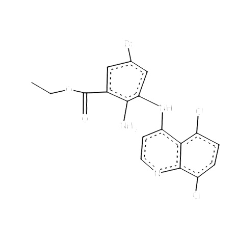 CCOC(=O)c1cc(Br)cc(Nc2ccnc3c(Cl)ccc(Cl)c23)c1N